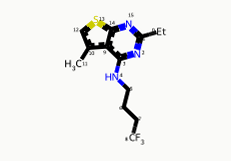 CCc1nc(NCCCC(F)(F)F)c2c(C)csc2n1